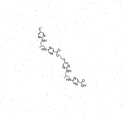 CSc1cnc(NCC(C)CNc2cnc(C(=O)OCCSc3cnc(NCC(C)CNc4cnc(C(=O)O)cn4)nc3)cn2)nc1